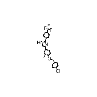 Cc1cc(-c2c[nH]c(-c3ccc(C(F)(F)F)cc3)n2)ccc1OCc1ccc(Cl)cc1